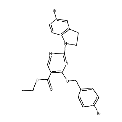 CCOC(=O)c1cnc(N2CCc3cc(Br)ccc32)nc1OCc1ccc(Br)cc1